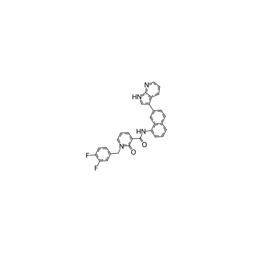 O=C(Nc1cccc2ccc(-c3c[nH]c4ncccc34)cc12)c1cccn(Cc2ccc(F)c(F)c2)c1=O